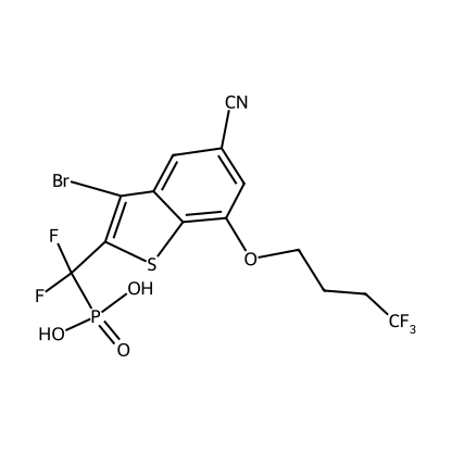 N#Cc1cc(OCCCC(F)(F)F)c2sc(C(F)(F)P(=O)(O)O)c(Br)c2c1